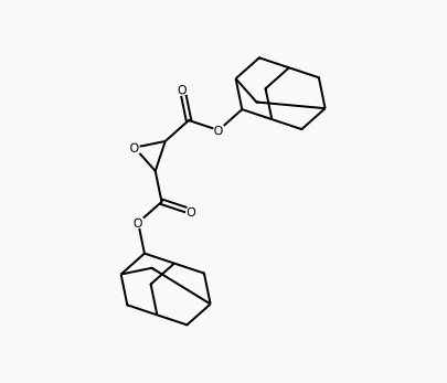 O=C(OC1C2CC3CC(C2)CC1C3)C1OC1C(=O)OC1C2CC3CC(C2)CC1C3